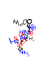 COc1cccc2[nH]c(C(=O)N[C@H]3CC(C)N([C@@H](C[C@@H]4CCNC4=O)C(=O)COC(=O)c4ccc(N)cc4)C3=O)cc12